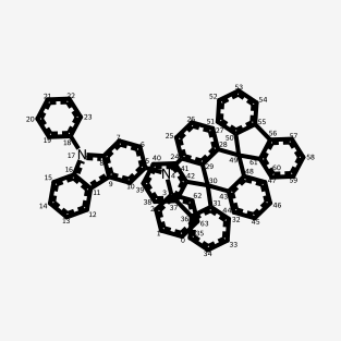 c1ccc(N(c2ccc3c(c2)c2ccccc2n3-c2ccccc2)c2cccc3c2C2(c4ccccc4-c4ccccc42)c2ccccc2C32c3ccccc3-c3ccccc32)cc1